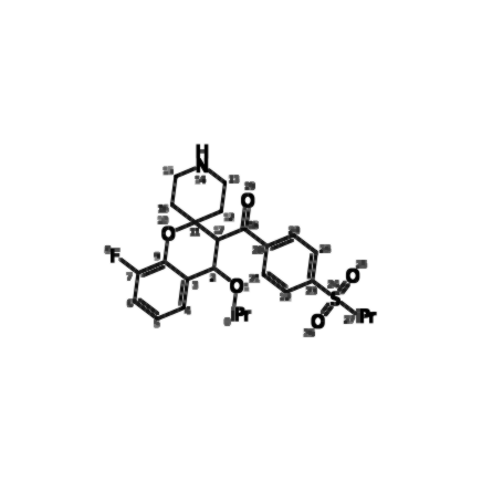 CC(C)OC1c2cccc(F)c2OC2(CCNCC2)C1C(=O)c1ccc(S(=O)(=O)C(C)C)cc1